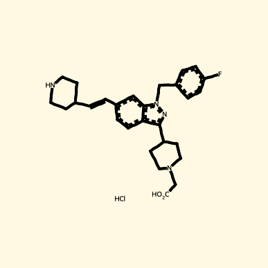 Cl.O=C(O)CN1CCC(c2nn(Cc3ccc(F)cc3)c3cc(/C=C/C4CCNCC4)ccc23)CC1